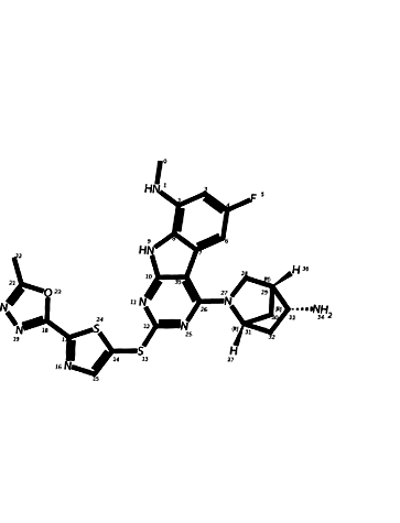 CNc1cc(F)cc2c1[nH]c1nc(Sc3cnc(-c4nnc(C)o4)s3)nc(N3C[C@H]4C[C@@H]3C[C@H]4N)c12